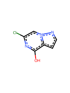 Oc1nc(Cl)cn2nccc12